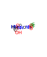 O=C(NC1[C@@H]2CC3C[C@H]1CC(O)(C3)C2)ON1CCN(c2ccc(N3CCN(S(=O)(=O)CC(F)(F)F)CC3)cc2)c2ccccc21